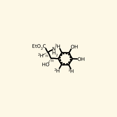 [2H]c1c([2H])c([C@H](O)[C@]([2H])(N)C(=O)OCC)c([2H])c(O)c1O